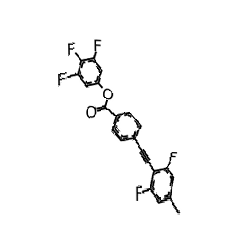 Cc1cc(F)c(C#Cc2ccc(C(=O)Oc3cc(F)c(F)c(F)c3)cc2)c(F)c1